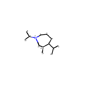 CC(C)C1CCCN(C(C)C)C[C@@H]1C